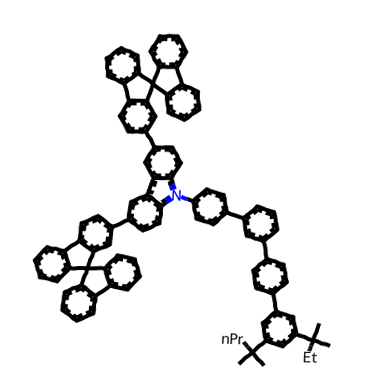 CCCC(C)(C)c1cc(-c2ccc(-c3cccc(-c4ccc(-n5c6ccc(-c7ccc8c(c7)C7(c9ccccc9-c9ccccc97)c7ccccc7-8)cc6c6cc(-c7ccc8c(c7)C7(c9ccccc9-c9ccccc97)c7ccccc7-8)ccc65)cc4)c3)cc2)cc(C(C)(C)CC)c1